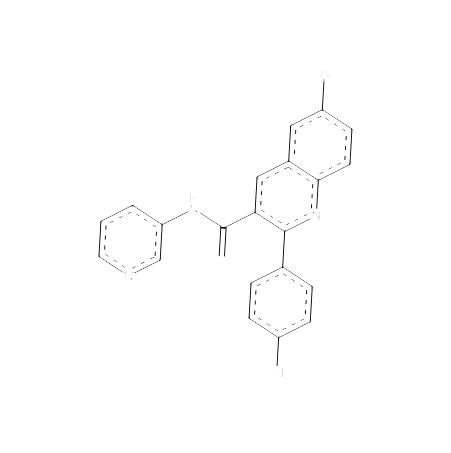 Cc1ccc(-c2nc3ccc(Br)cc3cc2C(=O)Nc2cccnc2)cc1